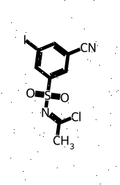 CC(Cl)=NS(=O)(=O)c1cc(I)cc(C#N)c1